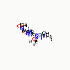 C=CC(=O)Nc1cc(Nc2nccc(OC3CN([S+](C)[O-])C3)n2)c(OC)cc1N1CCC(N(C)C)CC1